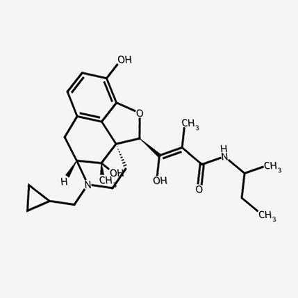 CCC(C)NC(=O)/C(C)=C(\O)[C@@H]1Oc2c(O)ccc3c2[C@@]12CCN(CC1CC1)[C@H](C3)[C@@]2(C)O